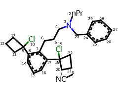 CC#N.CCCN(CCCc1c(C2(Cl)CCC2)cccc1C1(Cl)CCC1)Cc1ccccc1